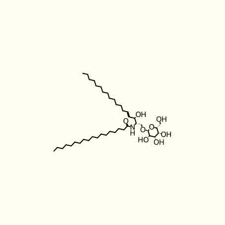 CCCCCCCCCCCCCC=C[C@@H](O)[C@H](CO[C@H]1O[C@H](CO)[C@H](O)[C@H](O)[C@H]1O)NC(=O)CCCCCCCCCCCCCCCCC